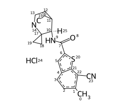 Cc1ccc2cc(C(=O)N[C@@H]3C4CCN(CC4)C34CC4)sc2c1C#N.Cl